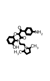 CC1CCC(C)N1CCN1C(=O)C(C(=O)c2ccc(N)cc2)Oc2cccc(O)c21